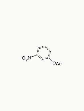 CC(=O)Oc1[c]c([N+](=O)[O-])ccc1